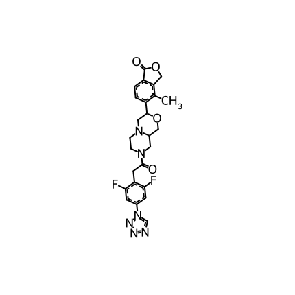 Cc1c(C2CN3CCN(C(=O)Cc4c(F)cc(-n5cnnn5)cc4F)CC3CO2)ccc2c1COC2=O